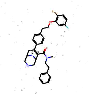 CN(CCc1ccccc1)C(=O)C1=C(c2ccc(CCOc3cc(F)ccc3Br)cc2)CC2CNCC1N2C(=O)O